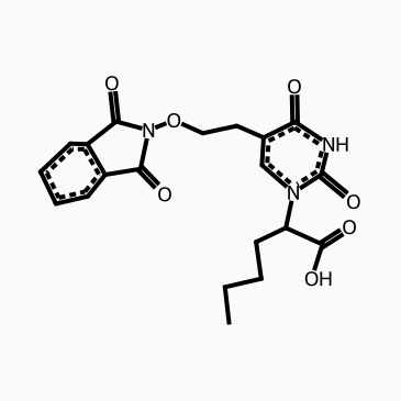 CCCCC(C(=O)O)n1cc(CCON2C(=O)c3ccccc3C2=O)c(=O)[nH]c1=O